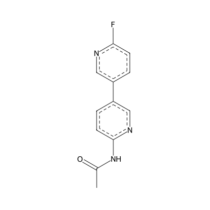 CC(=O)Nc1ccc(-c2ccc(F)nc2)cn1